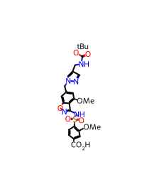 COc1cc(C(=O)O)ccc1S(=O)(=O)Nc1noc2cc(Cn3cc(CNC(=O)OC(C)(C)C)cn3)cc(OC)c12